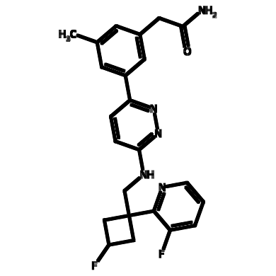 Cc1cc(CC(N)=O)cc(-c2ccc(NCC3(c4ncccc4F)CC(F)C3)nn2)c1